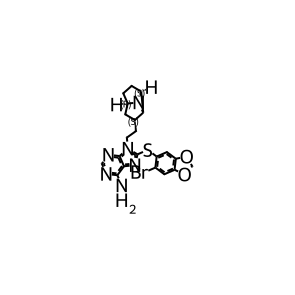 Nc1ncnc2c1nc(Sc1cc3c(cc1Br)OCO3)n2CC[C@H]1C[C@H]2CC[C@H]3C1N23